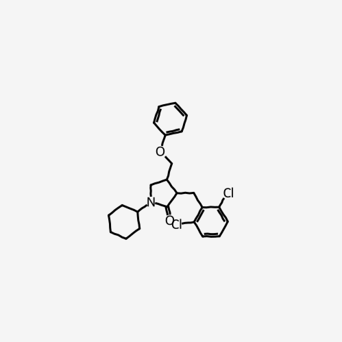 O=C1C(Cc2c(Cl)cccc2Cl)C(COc2ccccc2)CN1C1CCCCC1